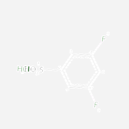 Cl.O=S(=O)(O)c1cc(F)cc(F)c1